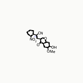 COc1cc2c(=O)c(/C=C(\C#N)c3ccccc3[N+](=O)[O-])coc2cc1O